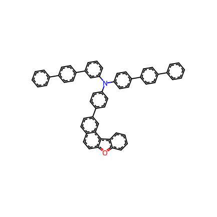 c1ccc(-c2ccc(-c3ccc(N(c4ccc(-c5ccc6ccc7oc8ccccc8c7c6c5)cc4)c4cccc(-c5ccc(-c6ccccc6)cc5)c4)cc3)cc2)cc1